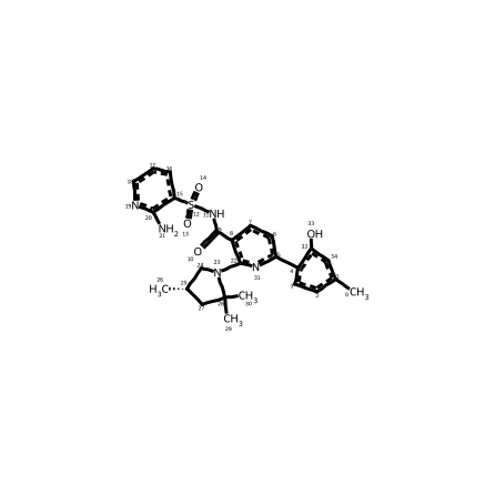 Cc1ccc(-c2ccc(C(=O)NS(=O)(=O)c3cccnc3N)c(N3C[C@@H](C)CC3(C)C)n2)c(O)c1